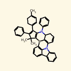 CC1=CC=C(C2=C(c3ccccc3)C(C)(C)C3=C2N(c2ccccc2)C2CC=CC4=C2B3c2cccc3c5ccccc5n4c23)CC1